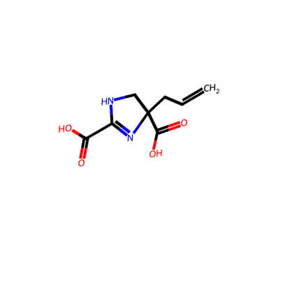 C=CCC1(C(=O)O)CNC(C(=O)O)=N1